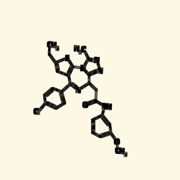 CCc1cc2c(s1)-n1c(C)nnc1C(CC(=O)Nc1cccc(OC)c1)N=C2c1ccc(Cl)cc1